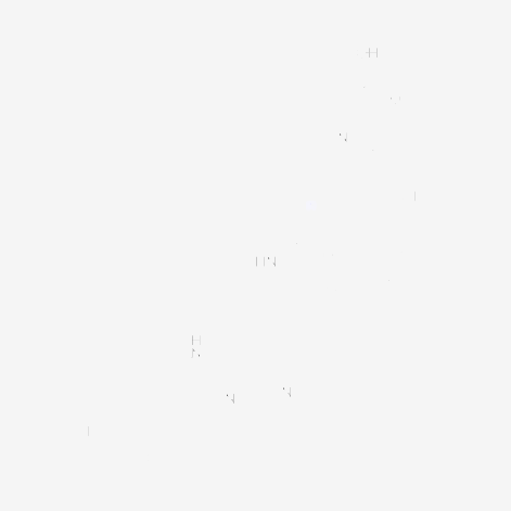 CC(C)(CO)N(C/C=C/C(=O)Nc1cc2c(Nc3ccc(F)c(Cl)c3)ncnc2cc1OCC1CC1)CC(=O)O